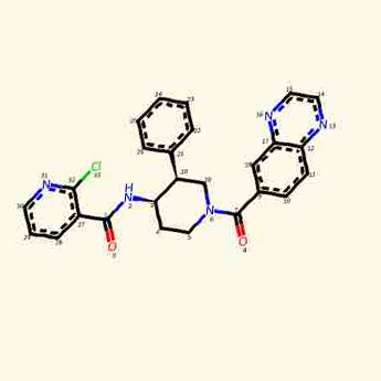 O=C(N[C@@H]1CCN(C(=O)c2ccc3nccnc3c2)C[C@@H]1c1ccccc1)c1cccnc1Cl